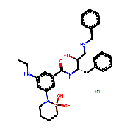 CCNc1cc(C(=O)N[C@@H](Cc2ccccc2)[C@@H](O)CNCc2ccccc2)cc(N2CCCCS2(O)O)c1.Cl